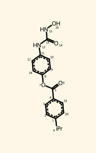 CC(C)c1ccc(C(=O)Oc2ccc(NC(=O)NO)cc2)cc1